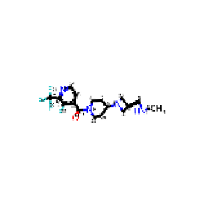 CNC=C1CN(C2CCN(C(=O)c3ccnc(C(F)(F)F)c3F)CC2)C1